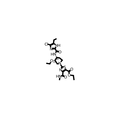 CCOC(=O)c1sc(N2CC[C@@H](NC(=O)c3nc(Cl)c(CC)[nH]3)[C@@H](OCC)C2)nc1C(=O)NC